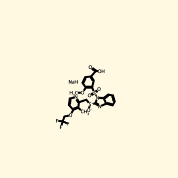 COc1ccc(C(=O)O)cc1S(=O)(=O)n1c([S+]([O-])Cc2nccc(OCC(F)(F)F)c2C)nc2ccccc21.[NaH]